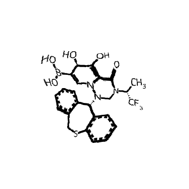 C[C@@H](N1CN([C@H]2c3ccccc3CSc3ccccc32)N2C=C(B(O)O)[C@@H](O)C(O)=C2C1=O)C(F)(F)F